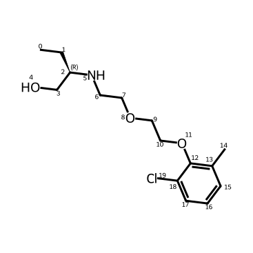 CC[C@H](CO)NCCOCCOc1c(C)cccc1Cl